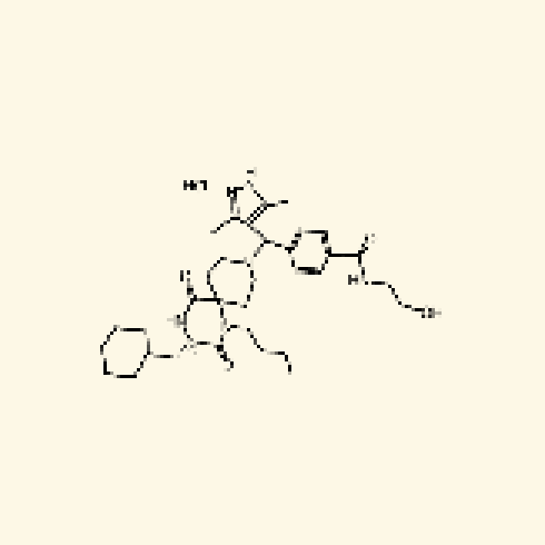 CCCCN1C(=O)[C@H](CC2CCCCC2)NC(=O)C12CCN(C(c1ccc(C(=O)NCCO)cc1)c1c(C)n[nH]c1C)CC2.Cl